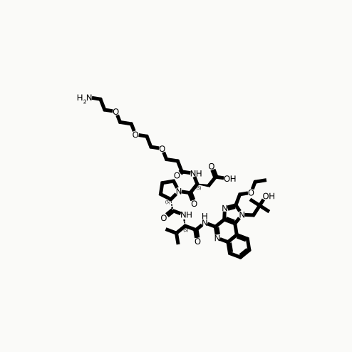 CCOCc1nc2c(NC(=O)[C@@H](NC(=O)[C@@H]3CCCN3C(=O)[C@H](CC(=O)O)NC(=O)CCOCCOCCOCCN)C(C)C)nc3ccccc3c2n1CC(C)(C)O